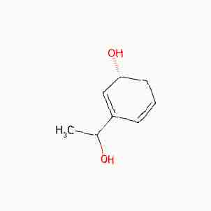 CC(O)C1=C[C@H](O)CC=C1